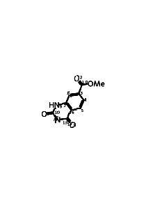 COC(=O)c1ccc2c(c1)NC(=O)[N]C2=O